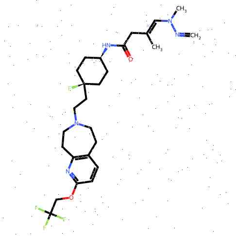 C=NN(C)/C=C(\C)CC(=O)N[C@H]1CC[C@](F)(CCN2CCc3ccc(OCC(F)(F)F)nc3CC2)CC1